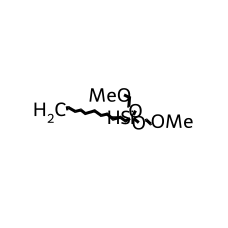 C=CCCCCCCCCC[SiH](OCCOC)OCCOC